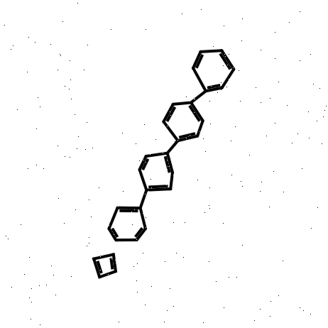 C1=CC=C1.c1ccc(-c2ccc(-c3ccc(-c4ccccc4)cc3)cc2)cc1